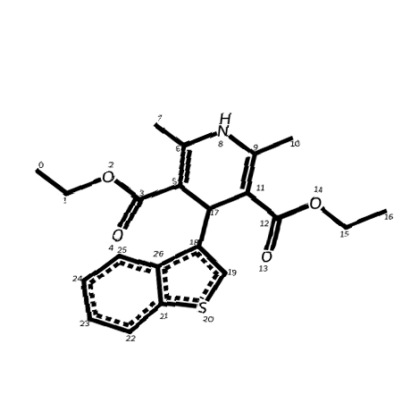 CCOC(=O)C1=C(C)NC(C)=C(C(=O)OCC)C1c1csc2ccccc12